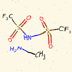 CN.O=S(=O)(NS(=O)(=O)C(F)(F)F)C(F)(F)F